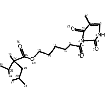 Cc1c[nH]c(=O)n(C(=O)CCCCCOC(=O)C(C)(CC(C)C)C(C)C)c1=O